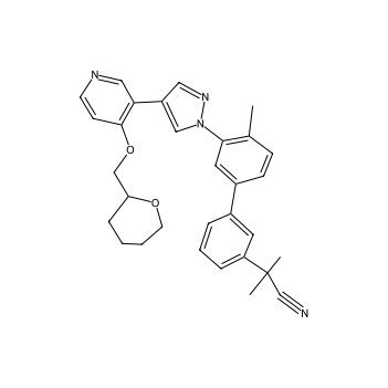 Cc1ccc(-c2cccc(C(C)(C)C#N)c2)cc1-n1cc(-c2cnccc2OCC2CCCCO2)cn1